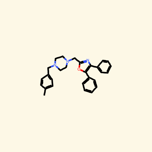 Cc1ccc(CN2CCN(Cc3nc(-c4ccccc4)c(-c4ccccc4)o3)CC2)cc1